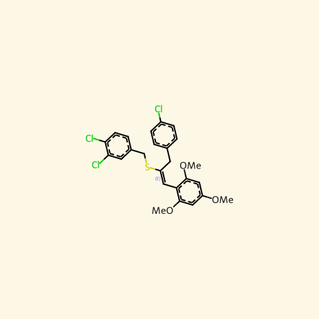 COc1cc(OC)c(/C=C(\Cc2ccc(Cl)cc2)SCc2ccc(Cl)c(Cl)c2)c(OC)c1